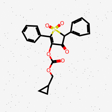 O=C(OCC1CC1)OC1=C(c2ccccc2)S(=O)(=O)C(c2ccccc2)C1=O